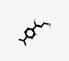 CC(C)c1ccc(C(I)=CCBr)cc1